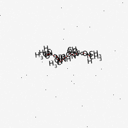 CNC(=O)c1cc(-c2ccc(NC(=O)c3cc(NC(=O)CCCOc4cc5c(cc4OC)C(=O)N4C=C(c6ccc(OCCNC(C)C)cc6)CC4C=N5)cn3C)cc2)cn1C